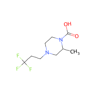 CC1CN(CCC(F)(F)F)CCN1C(=O)O